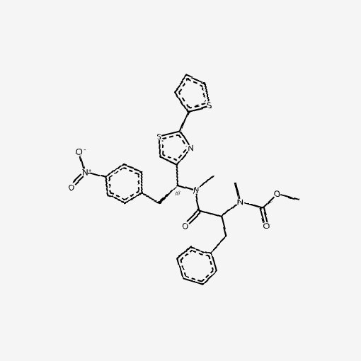 COC(=O)N(C)C(Cc1ccccc1)C(=O)N(C)[C@@H](Cc1ccc([N+](=O)[O-])cc1)c1csc(-c2cccs2)n1